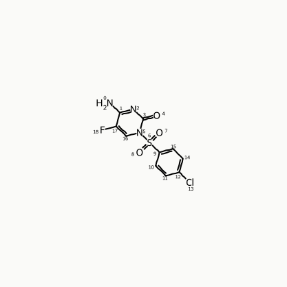 Nc1nc(=O)n(S(=O)(=O)c2ccc(Cl)cc2)cc1F